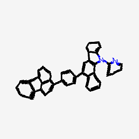 c1ccc(-n2c3ccccc3c3cc(-c4ccc(-c5ccc6c7c(cccc57)-c5ccccc5-6)cc4)c4ccccc4c32)nc1